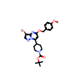 COc1ccc(COc2cc(C3CCN(C(=O)OC(C)(C)C)CC3)n3ncc(Br)c3n2)cc1